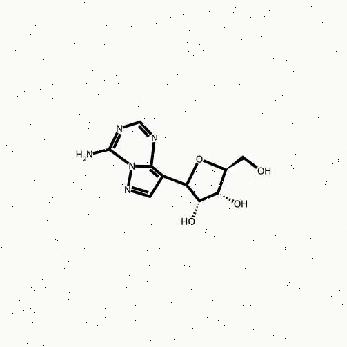 Nc1ncnc2c(C3O[C@@H](CO)[C@H](O)[C@@H]3O)cnn12